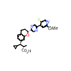 COc1cc(-c2cnc([C@H]3CCc4ccc([C@H](C5CC5)[C@H](C)C(=O)O)cc4O3)cn2)c(F)cn1